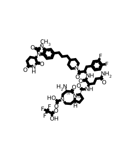 Cn1c(=O)n(C2CCC(=O)NC2=O)c2ccc(CCCC3CCN(C(=O)C(Cc4ccc(F)c(F)c4)NC(=O)C(CCC(N)=O)NC(=O)[C@@H]4CC[C@@H]5CCN(C(=O)O)C[C@H](N)C(=O)N54)CC3)cc21.O=C(O)C(F)(F)F